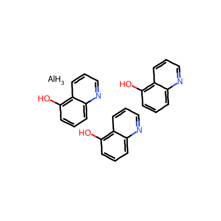 Oc1cccc2ncccc12.Oc1cccc2ncccc12.Oc1cccc2ncccc12.[AlH3]